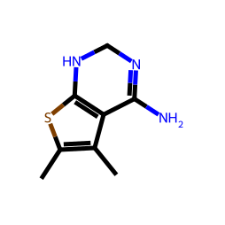 Cc1sc2c(c1C)C(N)=NCN2